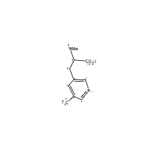 CNC(Cc1cncc(C(F)(F)F)c1)C(=O)O